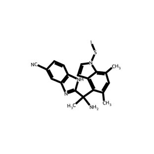 Cc1cc(C)c2c(ccn2SI)c1C(C)(N)c1nc2cc(C#N)ccc2[nH]1